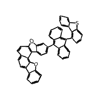 c1ccc2c(c1)oc1c2ccc2ccc3oc4cc(-c5c6ccccc6c(-c6cccc7sc8ccccc8c67)c6ccccc56)ccc4c3c21